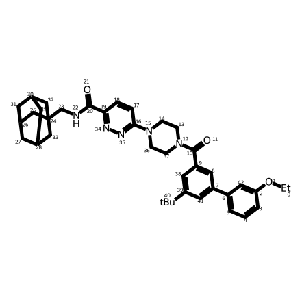 CCOc1cccc(-c2cc(C(=O)N3CCN(c4ccc(C(=O)NCC56CC7CC(CC(C7)C5)C6)nn4)CC3)cc(C(C)(C)C)c2)c1